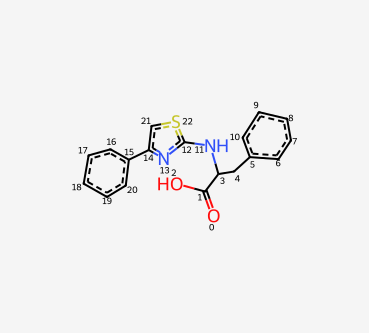 O=C(O)C(Cc1ccccc1)Nc1nc(-c2ccccc2)cs1